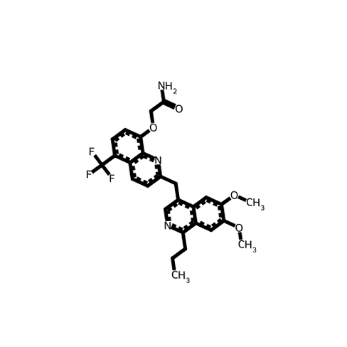 CCCc1ncc(Cc2ccc3c(C(F)(F)F)ccc(OCC(N)=O)c3n2)c2cc(OC)c(OC)cc12